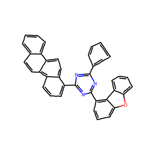 c1ccc(-c2nc(-c3cccc4c3ccc3c5ccccc5ccc43)nc(-c3cccc4oc5ccccc5c34)n2)cc1